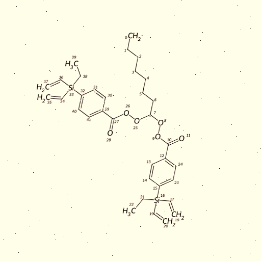 [CH2]CCCCCC[C](OOC(=O)c1ccc([Si](C=C)(C=C)CC)cc1)OOC(=O)c1ccc([Si](C=C)(C=C)CC)cc1